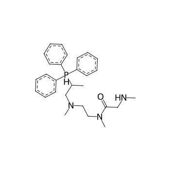 CNCC(=O)N(C)CCN(C)CC(C)[PH](c1ccccc1)(c1ccccc1)c1ccccc1